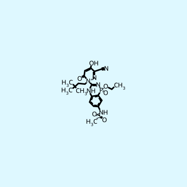 CCOP1(=O)N=C([N+]2(CCC(C)(C)C)N=C(C#N)C(O)=CC2=O)Nc2ccc(NS(C)(=O)=O)cc21